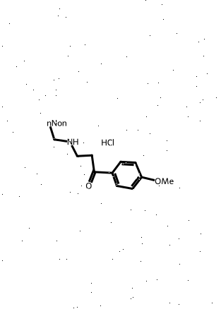 CCCCCCCCCCNCCC(=O)c1ccc(OC)cc1.Cl